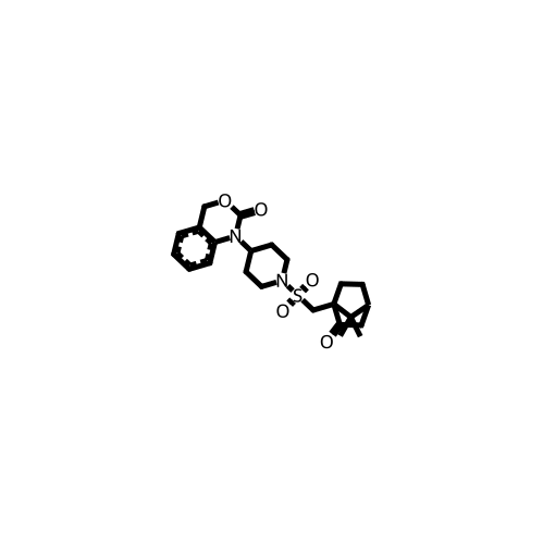 CC1(C)C2CCC1(CS(=O)(=O)N1CCC(N3C(=O)OCc4ccccc43)CC1)C(=O)C2